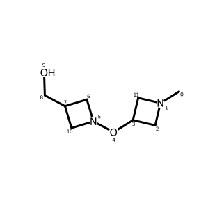 CN1CC(ON2CC(CO)C2)C1